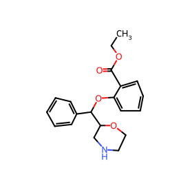 CCOC(=O)c1ccccc1OC(c1ccccc1)C1CNCCO1